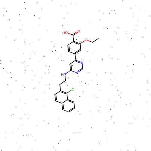 CCOc1cc(-c2cc(NCCc3ccc4ccccc4c3Cl)ncn2)ccc1C(=O)O